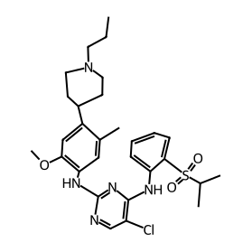 CCCN1CCC(c2cc(OC)c(Nc3ncc(Cl)c(Nc4ccccc4S(=O)(=O)C(C)C)n3)cc2C)CC1